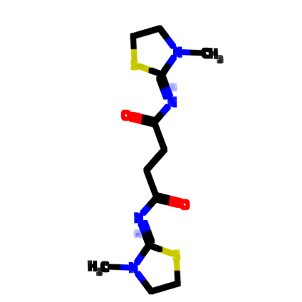 CN1CCS/C1=N\C(=O)CCC(=O)/N=C1\SCCN1C